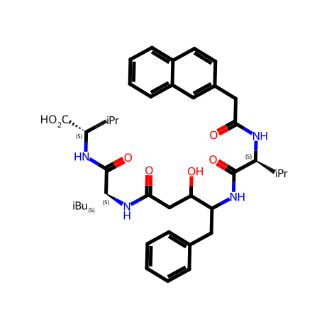 CC[C@H](C)[C@H](NC(=O)CC(O)C(Cc1ccccc1)NC(=O)[C@@H](NC(=O)Cc1ccc2ccccc2c1)C(C)C)C(=O)N[C@H](C(=O)O)C(C)C